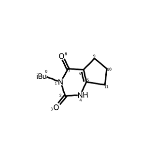 CCC(C)n1c(=O)[nH]c2c(c1=O)CCC2